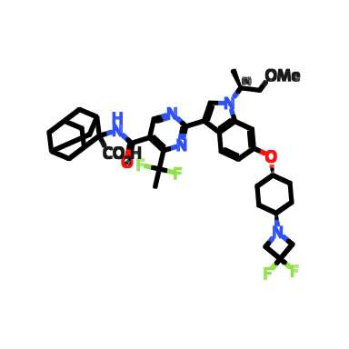 COC[C@H](C)n1cc(-c2ncc(C(=O)NC3(C(=O)O)C4CC5CC(C4)CC3C5)c(C(C)(F)F)n2)c2ccc(O[C@H]3CC[C@H](N4CC(F)(F)C4)CC3)cc21